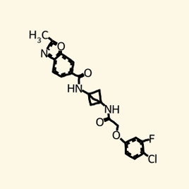 Cc1nc2ccc(C(=O)NC34CC(NC(=O)COc5ccc(Cl)c(F)c5)(C3)C4)cc2o1